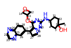 CC1(O)CCC(Nc2nc(OC3COC3)c3c(-c4ccc5nccnc5c4)ccn3n2)CC1